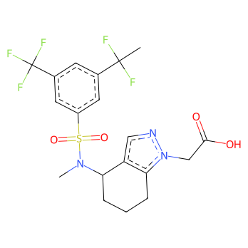 CN(C1CCCc2c1cnn2CC(=O)O)S(=O)(=O)c1cc(C(C)(F)F)cc(C(F)(F)F)c1